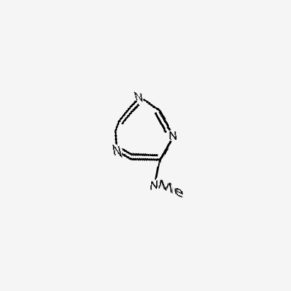 CNc1ncncn1